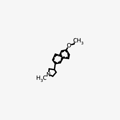 CCOc1ccc2cc(C3CCN(C)C3)ccc2c1